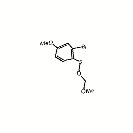 COCOSc1ccc(OC)cc1Br